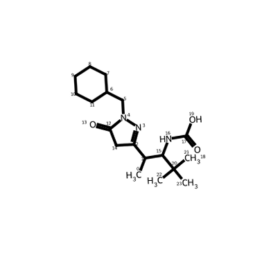 CC(C1=NN(CC2CCCCC2)C(=O)C1)C(NC(=O)O)C(C)(C)C